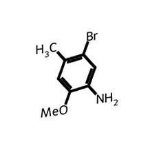 COc1cc(C)c(Br)cc1N